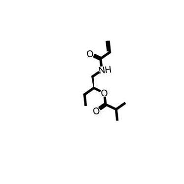 C=CC(=O)NC[C@H](CC)OC(=O)C(C)C